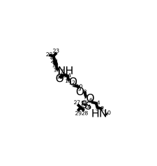 CNCCCC(OCCOCCOCCC(=O)NCC#CC(C)C)SSC(C)(C)C